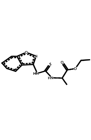 CCOC(=O)C(C)NC(=S)Nc1noc2ccccc12